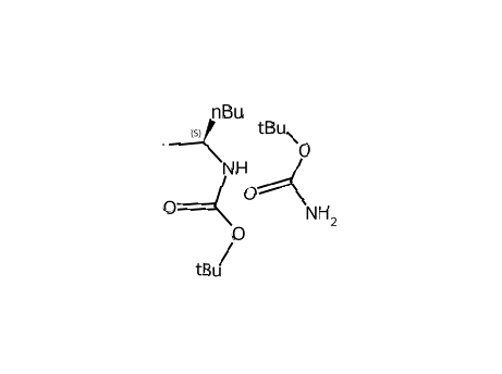 CC(C)(C)OC(N)=O.[CH2][C@@H](CCCC)NC(=O)OC(C)(C)C